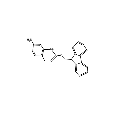 Cc1ccc(N)cc1NC(=O)OCC1c2ccccc2-c2ccccc21